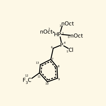 CCCCCCCC[PH](CCCCCCCC)(CCCCCCCC)P(Cl)Cc1cccc(C(F)(F)F)c1